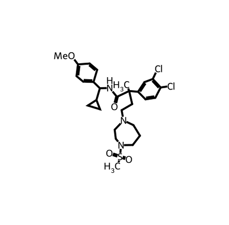 COc1ccc(C(NC(=O)C(C)(CCN2CCCN(S(C)(=O)=O)CC2)c2ccc(Cl)c(Cl)c2)C2CC2)cc1